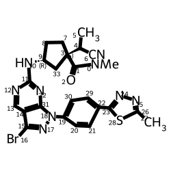 CNC(=O)[C@@]1(C(C)C#N)CC[C@@H](Nc2ncc3c(Br)nn(-c4ccc(-c5nnc(C)s5)cc4)c3n2)C1